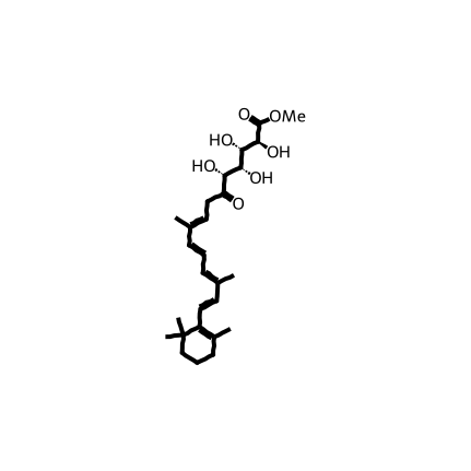 COC(=O)[C@@H](O)[C@@H](O)[C@H](O)[C@@H](O)C(=O)CC=C(C)C=CC=C(C)C=CC1=C(C)CCCC1(C)C